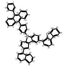 c1ccc(-c2c3ccccc3c(-c3ccc(-n4c5ccc(-c6cccc7ccccc67)cc5c5cc(-c6cccc7c6oc6ccccc67)ccc54)cc3)c3ccccc23)cc1